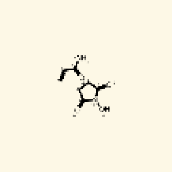 C=CC(N)=O.O=C1CCC(=O)N1O